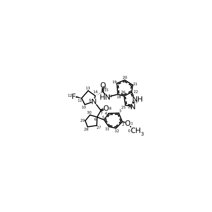 COc1ccc(C2(C(=O)N3C[C@@H](F)C[C@@H]3C(=O)Nc3cccc4[nH]ncc34)CCCC2)cc1